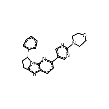 c1ccc([C@H]2CCc3nc4ccc(-c5cnc(N6CCOCC6)nc5)nc4n32)cc1